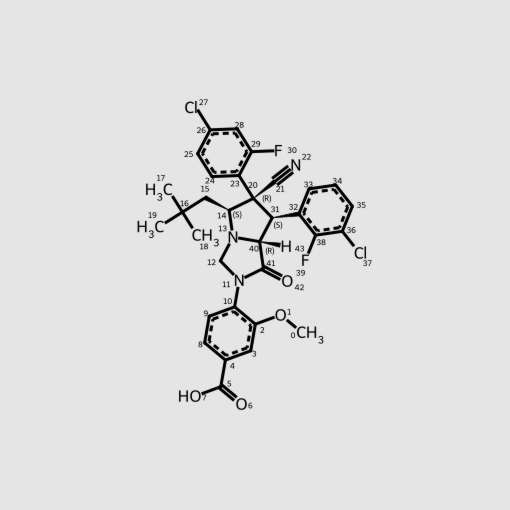 COc1cc(C(=O)O)ccc1N1CN2[C@@H](CC(C)(C)C)[C@](C#N)(c3ccc(Cl)cc3F)[C@@H](c3cccc(Cl)c3F)[C@@H]2C1=O